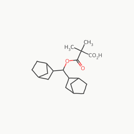 CC(C)(C(=O)O)C(=O)OC(C1CC2CCC1C2)C1CC2CCC1C2